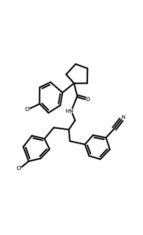 N#Cc1cccc(CC(CNC(=O)C2(c3ccc(Cl)cc3)CCCC2)Cc2ccc(Cl)cc2)c1